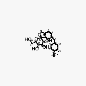 CC(C)c1ccc(Cc2ccc3c(c2)[C@]2(OC3)O[C@H](CO)[C@@H](O)[C@H](O)[C@H]2O)cc1